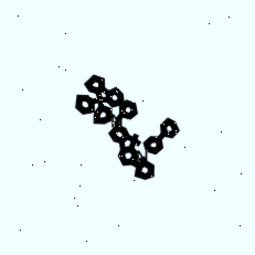 CC1(C)c2cc(N(c3ccccc3)c3cccc(C4(c5ccccc5)c5ccccc5-c5ccccc54)c3)ccc2-c2ccc3c4ccccc4n(-c4ccc(-c5ccccc5)cc4)c3c21